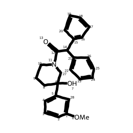 COc1cccc(C2(O)CCCN(C(=O)C(c3ccccc3)c3ccccc3)C2)c1